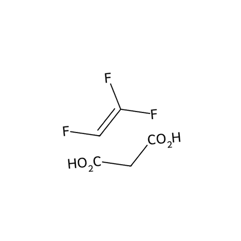 FC=C(F)F.O=C(O)CC(=O)O